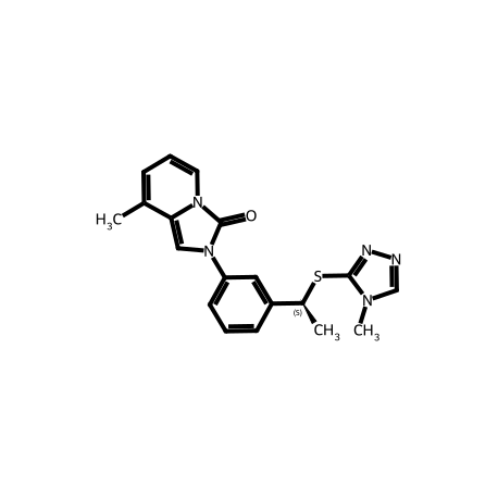 Cc1cccn2c(=O)n(-c3cccc([C@H](C)Sc4nncn4C)c3)cc12